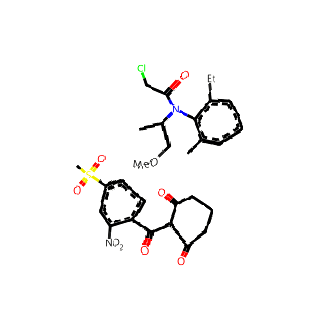 CCc1cccc(C)c1N(C(=O)CCl)C(C)COC.CS(=O)(=O)c1ccc(C(=O)C2C(=O)CCCC2=O)c([N+](=O)[O-])c1